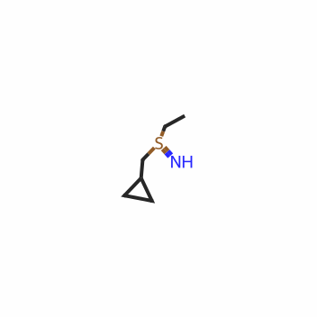 CCS(=N)CC1CC1